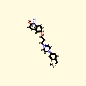 CCc1ccc(N2CCN(CCCOc3ccc4c(c3)CCC(=O)N4)CC2)cc1